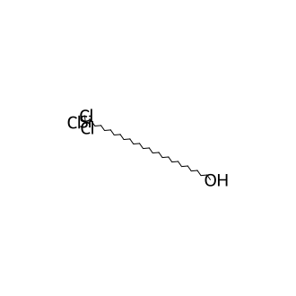 OCCCCCCCCCCCCCCCCCCCCCCCCC[Si](Cl)(Cl)Cl